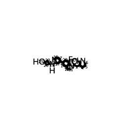 O=C(Cc1cccnc1Cl)N1CCc2cc(-c3ccnc(N[C@H]4C[C@@H](O)C4)c3)cc(F)c21